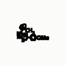 COc1ccc(C2=Nn3c(nnc3-c3ccoc3C)SC2)cc1